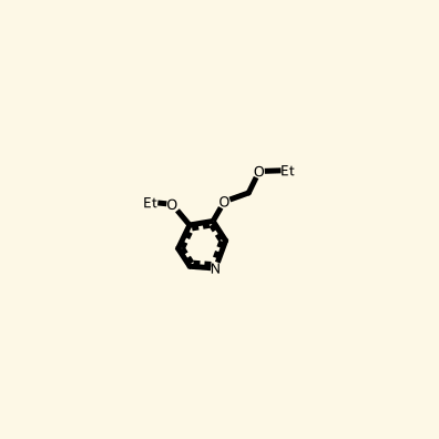 CCOCOc1cnccc1OCC